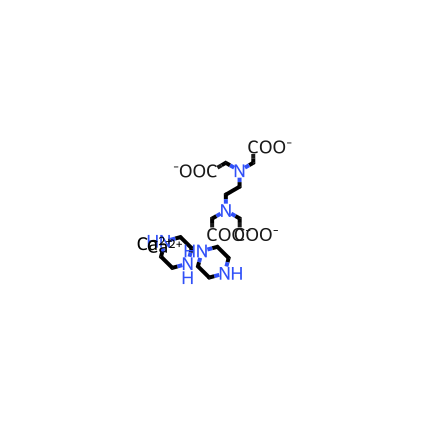 C1CNCCN1.C1CNCCN1.O=C([O-])CN(CCN(CC(=O)[O-])CC(=O)[O-])CC(=O)[O-].[Ca+2].[Ca+2]